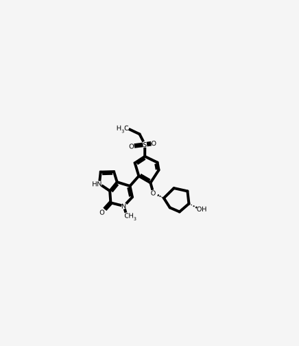 CCS(=O)(=O)c1ccc(O[C@H]2CC[C@@H](O)CC2)c(-c2cn(C)c(=O)c3[nH]ccc23)c1